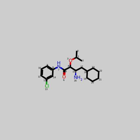 CC(C)OC(C(=O)Nc1cccc(Cl)c1)[C@H](N)CC1CCCCC1